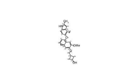 COc1cc2c(Oc3ccc4[nH]c(C)cc4c3F)ccnc2cc1OCC1CC(O)C1